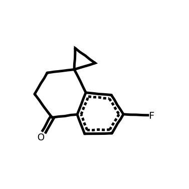 O=C1CCC2(CC2)c2cc(F)ccc21